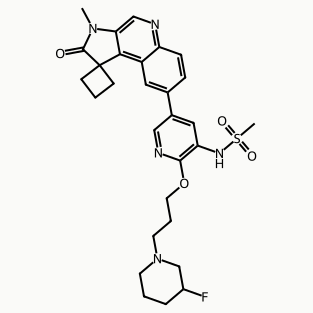 CN1C(=O)C2(CCC2)c2c1cnc1ccc(-c3cnc(OCCCN4CCCC(F)C4)c(NS(C)(=O)=O)c3)cc21